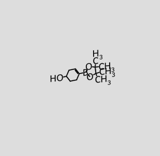 CC1(C)OB(C2=CCC(O)CC2)OC1(C)C